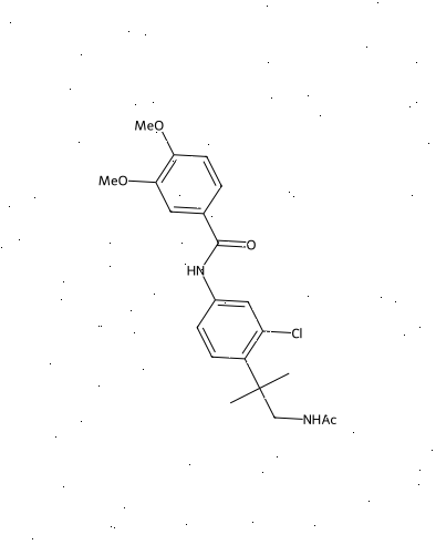 COc1ccc(C(=O)Nc2ccc(C(C)(C)CNC(C)=O)c(Cl)c2)cc1OC